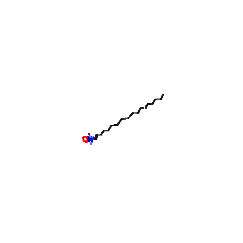 CCCCCCCCCCCCCCCCC=C[N+](C)(C)[O-]